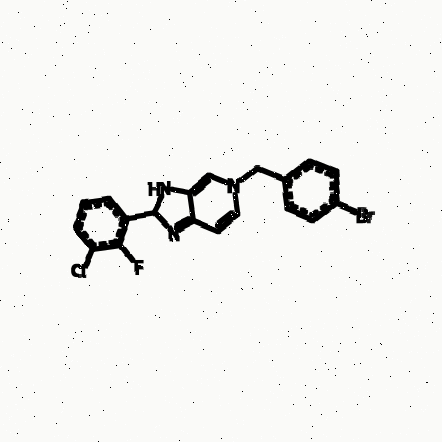 Fc1c(Cl)cccc1C1N=C2C=CN(Cc3ccc(Br)cc3)C=C2N1